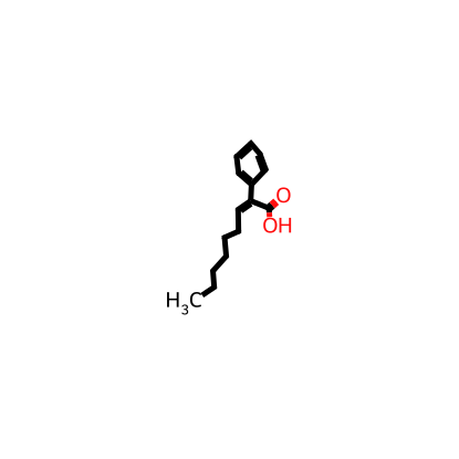 CCCCCC/C=C(\C(=O)O)c1ccccc1